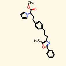 COC(=O)C(CCc1ccc(CCCc2nc(-c3ccccc3)oc2C)cc1)n1cccc1